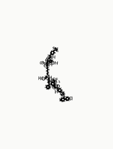 Cc1ncsc1-c1ccc([C@H](C)NC(=O)[C@@H]2C[C@@H](O)CN2C(=O)[C@@H](NC(=O)CCCCCCCN(CCO)CC[C@H](CSc2ccccc2)Nc2ccc(S(=O)(=O)NC(=O)c3ccc(N4CCN(CC5=C(c6ccc(Cl)cc6)CCC(C)(C)C5)CC4)cc3)cc2S(=O)(=O)C(F)(F)F)C(C)(C)C)cc1